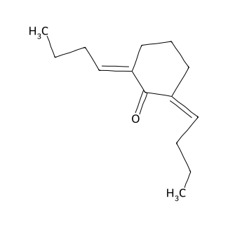 CCCC=C1CCCC(=CCCC)C1=O